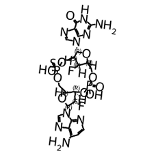 Nc1nc2c(ncn2[C@@H]2O[C@@H]3COP(=O)(O)O[C@H]4[C@H](F)[C@H](n5cnc6c(N)ccnc65)O[C@@H]4COP(O)(=S)O[C@@H]2[C@@H]3F)c(=O)[nH]1